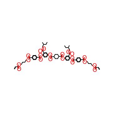 C=CC(=O)OCCCCOC(=O)c1ccc(C(=O)Oc2ccc(OC(=O)C3CCC(C(=O)Oc4ccc(OC(=O)c5ccc(C(=O)OCCCCOC(=O)C=C)cc5)c(C(=O)OCC(C)CC)c4)CC3)cc2C(=O)OCC(C)CC)cc1